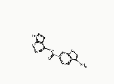 NC1COc2cc(C(=O)Nc3ccnc4[nH]ncc34)ccc21